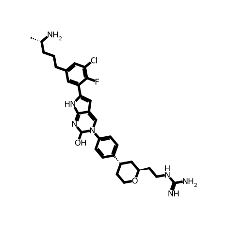 C[C@H](N)CCCc1cc(Cl)c(F)c(-c2cc3c([nH]2)=NC(O)N(c2ccc([C@H]4CCO[C@H](CCNC(=N)N)C4)cc2)C=3)c1